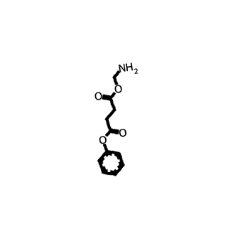 NCOC(=O)CCC(=O)Oc1ccccc1